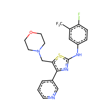 Fc1ccc(Nc2nc(-c3cccnc3)c(CN3CCOCC3)s2)cc1C(F)(F)F